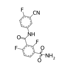 N#Cc1cc(NC(=O)c2c(F)ccc(S(N)(=O)=O)c2F)ccc1F